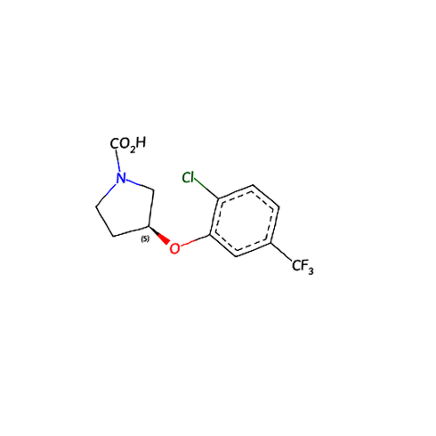 O=C(O)N1CC[C@H](Oc2cc(C(F)(F)F)ccc2Cl)C1